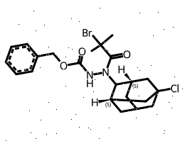 CC(C)(Br)C(=O)N(NC(=O)OCc1ccccc1)C1[C@H]2CC3C[C@H]1CC(Cl)(C3)C2